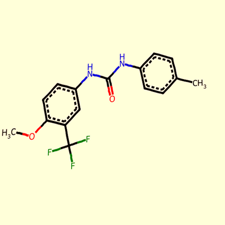 COc1ccc(NC(=O)Nc2ccc(C)cc2)cc1C(F)(F)F